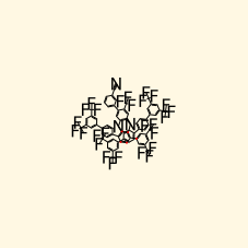 N#Cc1cccc(-c2cc(-n3c4cc(-c5cc(C(F)(F)F)cc(C(F)(F)F)c5)ccc4c4ccc(-c5cc(C(F)(F)F)cc(C(F)(F)F)c5)cc43)c(-n3c4cc(-c5cc(C(F)(F)F)cc(C(F)(F)F)c5)ccc4c4ccc(-c5cc(C(F)(F)F)cc(C(F)(F)F)c5)cc43)cc2C(F)(F)F)c1